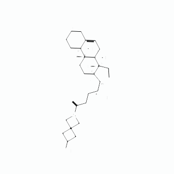 C[C@H](CCC(=O)N1CC2(CC(O)C2)C1)[C@H]1CC[C@H]2[C@@H]3CC=C4C[C@@H](O)CC[C@]4(C)[C@H]3CC[C@]12C